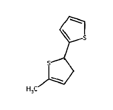 CC1=CC[C](c2cccs2)S1